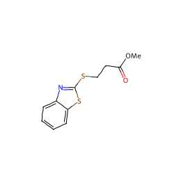 COC(=O)CCSc1nc2ccccc2s1